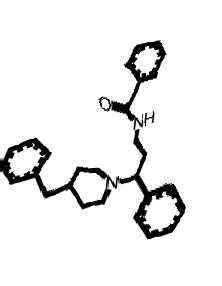 O=C(NCCC(c1ccccc1)N1CCC(Cc2ccccc2)CC1)c1ccccc1